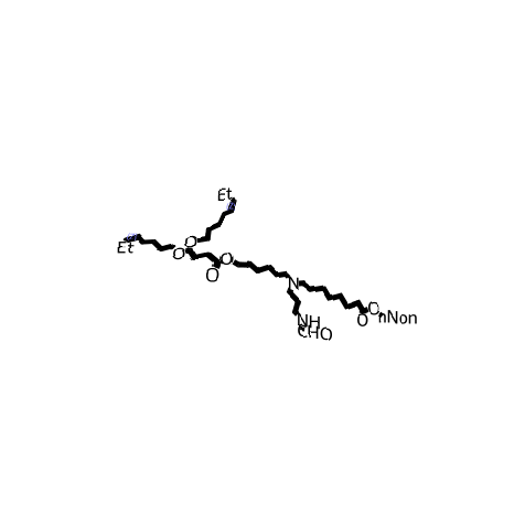 CC/C=C\CCCCOC(CCC(=O)OCCCCCCN(CCCCCCCC(=O)OCCCCCCCCC)CCCNC=O)OCCCC/C=C\CC